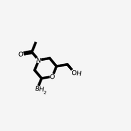 BC1CN(C(C)=O)CC(CO)O1